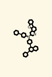 c1ccc(-c2ccc(N(c3ccc(-c4cc(-c5ccccc5)cc5ccccc45)cc3)c3cnc4ccc5c6ccccc6oc5c4c3)cc2)cc1